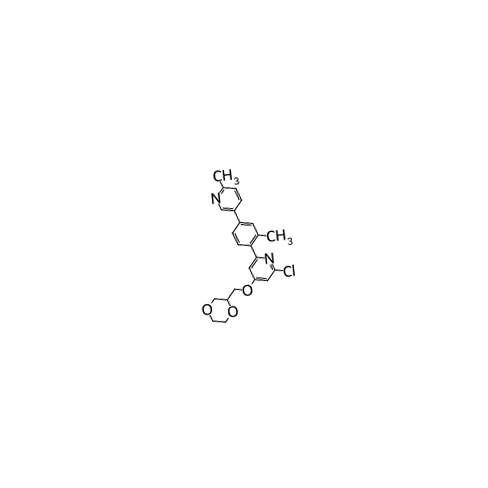 Cc1ccc(-c2ccc(-c3cc(OCC4COCCO4)cc(Cl)n3)c(C)c2)cn1